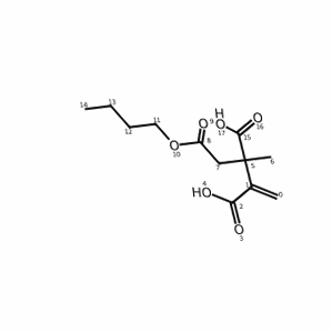 C=C(C(=O)O)C(C)(CC(=O)OCCCC)C(=O)O